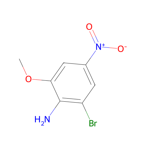 COc1cc([N+](=O)[O-])cc(Br)c1N